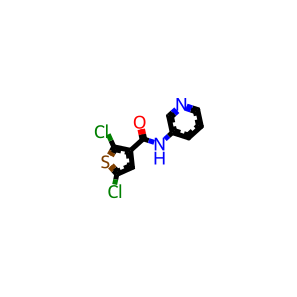 O=C(Nc1cccnc1)c1cc(Cl)sc1Cl